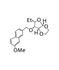 CC[C@H]1O[C@@H]2OCCO[C@@H]2[C@H]1OCc1ccc2ccc(OC)cc2c1